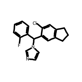 Fc1ccccc1C(c1cc2c(cc1Cl)CCC2)n1ccnc1